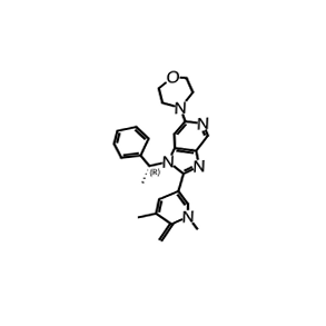 C=C1C(C)=CC(c2nc3cnc(N4CCOCC4)cc3n2[C@H](C)c2ccccc2)=CN1C